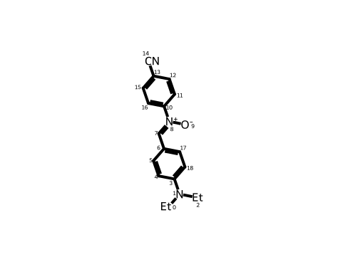 CCN(CC)c1ccc(C=[N+]([O-])c2ccc(C#N)cc2)cc1